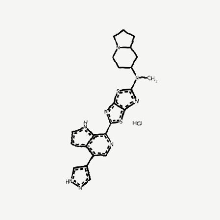 CN(c1nc2sc(-c3ncc(-c4cn[nH]c4)c4cc[nH]c34)nc2s1)C1CCN2CCCC2C1.Cl